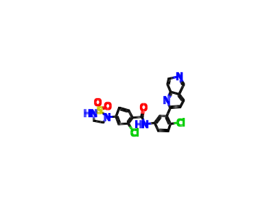 O=C(Nc1ccc(Cl)c(-c2ccc3cnccc3n2)c1)c1ccc(N2CCNS2(=O)=O)cc1Cl